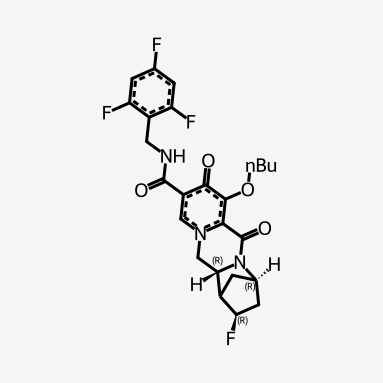 CCCCOc1c2n(cc(C(=O)NCc3c(F)cc(F)cc3F)c1=O)C[C@H]1C3C[C@H](C[C@H]3F)N1C2=O